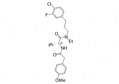 CCN(CCCc1ccc(Cl)c(F)c1)C(=O)[C@H](NC(=O)Cc1ccc(OC)cc1)C(C)C